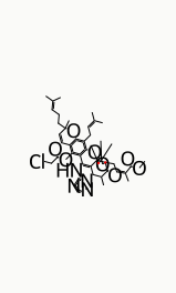 COC(=O)/C(C)=C\CC12OC(C)(C)C(C)C13Oc1c(CC=C(C)C)c4c(c(OC(=O)CCl)c1C1=C3C(C(C)C2=O)n2ncnc2N1)C=CC(C)(CCC=C(C)C)O4